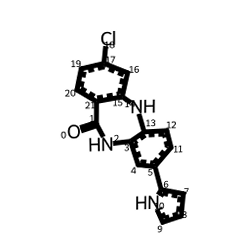 O=C1Nc2cc(-c3ccc[nH]3)ccc2Nc2cc(Cl)ccc21